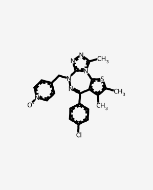 Cc1sc2c(c1C)C(c1ccc(Cl)cc1)=NN(Cc1cc[n+]([O-])cc1)c1nnc(C)n1-2